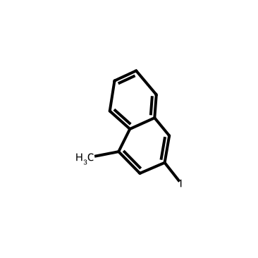 Cc1cc(I)cc2ccccc12